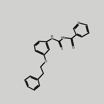 O=C(NC(=S)Nc1cccc(OCCc2ccccc2)c1)c1cccnc1